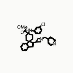 COC(=O)C1(Nc2cccc(Cl)c2)CCC2(CC1)C(C1CN(Cc3ccncc3)C1)=Cc1ccccc12